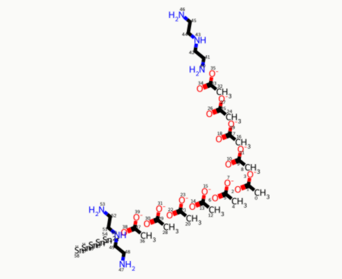 CC(=O)[O-].CC(=O)[O-].CC(=O)[O-].CC(=O)[O-].CC(=O)[O-].CC(=O)[O-].CC(=O)[O-].CC(=O)[O-].CC(=O)[O-].CC(=O)[O-].NCCNCCN.NCCNCCN.[Sn+2].[Sn+2].[Sn+2].[Sn+2].[Sn+2]